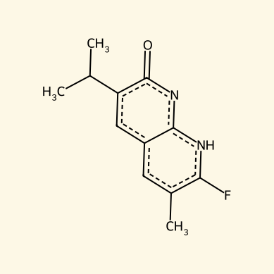 Cc1cc2cc(C(C)C)c(=O)nc-2[nH]c1F